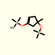 CC1(O[Si](C)(C)C)CC=C(O[Si](C)(C)C(C)(C)C)C1